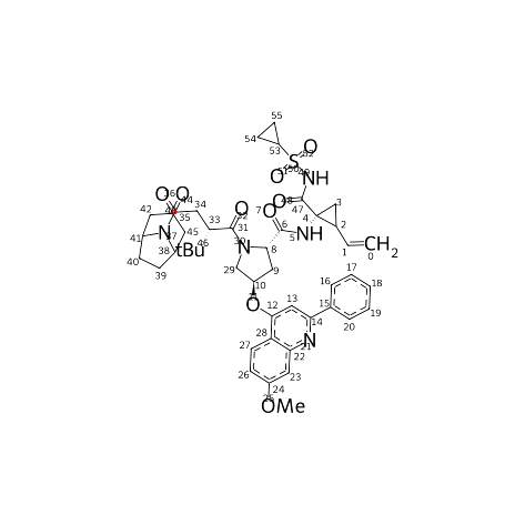 C=CC1C[C@]1(NC(=O)[C@@H]1C[C@@H](Oc2cc(-c3ccccc3)nc3cc(OC)ccc23)CN1C(=O)[C@@H](CC(=O)N1C2CCC1CC(=O)C2)C(C)(C)C)C(=O)NS(=O)(=O)C1CC1